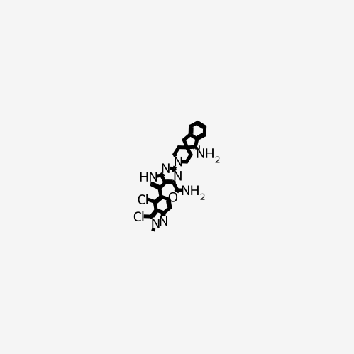 Cn1nc2ccc(-c3c[nH]c4nc(N5CCC6(CC5)Cc5ccccc5[C@H]6N)nc(C(N)=O)c34)c(Cl)c2c1Cl